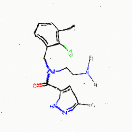 CCN(CC)CCN(Cc1cccc(C)c1Cl)C(=O)c1cc(C(F)(F)F)n[nH]1